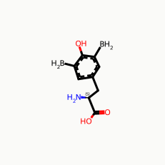 Bc1cc(C[C@H](N)C(=O)O)cc(B)c1O